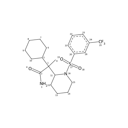 CC(C(N)=O)(C1CCCCC1)C1CCCCN1S(=O)(=O)c1cccc(C(F)(F)F)c1